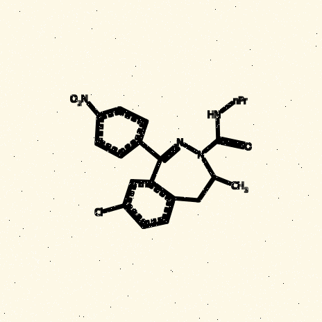 CCCNC(=O)N1N=C(c2ccc([N+](=O)[O-])cc2)c2cc(Cl)ccc2CC1C